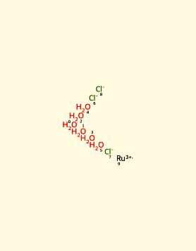 O.O.O.O.O.O.[Cl-].[Cl-].[Cl-].[Ru+3]